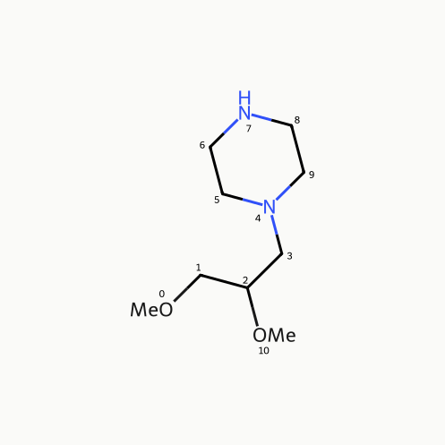 COCC(CN1CCNCC1)OC